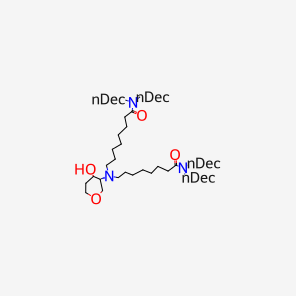 CCCCCCCCCCN(CCCCCCCCCC)C(=O)CCCCCCCN(CCCCCCCC(=O)N(CCCCCCCCCC)CCCCCCCCCC)[C@H]1COCC[C@H]1O